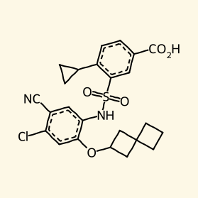 N#Cc1cc(NS(=O)(=O)c2cc(C(=O)O)ccc2C2CC2)c(OC2CC3(CCC3)C2)cc1Cl